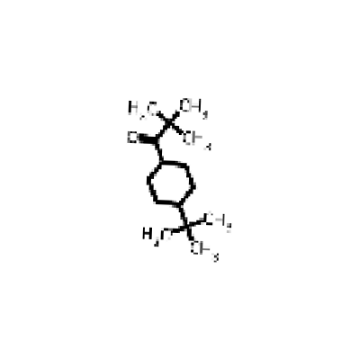 CC(C)(C)C(=O)C1CCC(C(C)(C)C)CC1